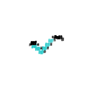 F.F.F.F.F.F.[AsH3].[KH]